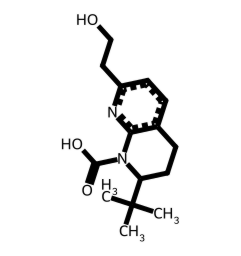 CC(C)(C)C1CCc2ccc(CCO)nc2N1C(=O)O